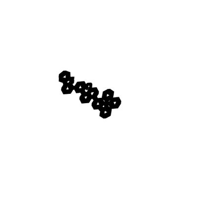 c1ccc(C2(c3ccccc3)c3ccccc3-c3ccc(-c4ccc5c6c(cccc46)-c4cc(-c6cccc7c6sc6ccccc67)ccc4O5)cc32)cc1